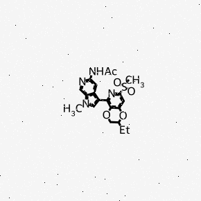 CCC1COc2c(cc(S(C)(=O)=O)nc2-c2cn(C)c3cnc(NC(C)=O)cc23)O1